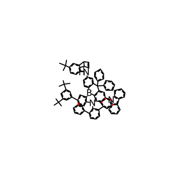 C[C@H]1C2=CC1c1cc(C(C)(C)C)ccc1N2c1ccc2c(c1)C(c1ccccc1)(c1ccccc1)c1cc(-n3c4ccccc4c4ccccc43)cc3c1B2c1cc(-c2cc(C(C)(C)C)cc(C(C)(C)C)c2)ccc1N3c1c(-c2ccccc2)cccc1-c1ccccc1